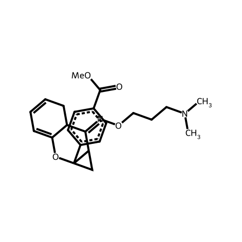 COC(=O)c1ccc(C23CC2C(=NOCCCN(C)C)C2CC=CC=C2O3)cc1